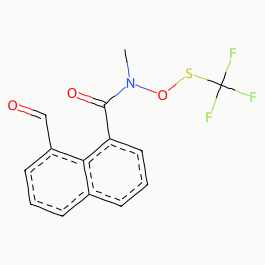 CN(OSC(F)(F)F)C(=O)c1cccc2cccc(C=O)c12